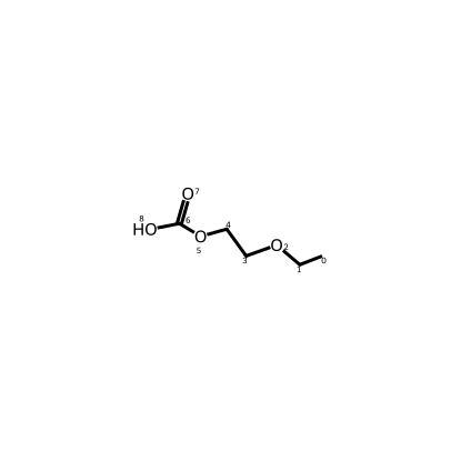 CCOCCOC(=O)O